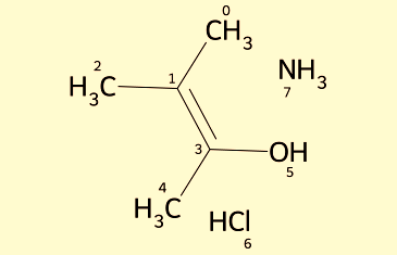 CC(C)=C(C)O.Cl.N